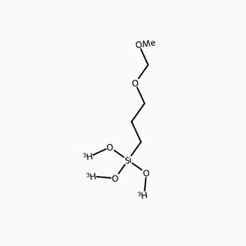 [3H]O[Si](CCCOCOC)(O[3H])O[3H]